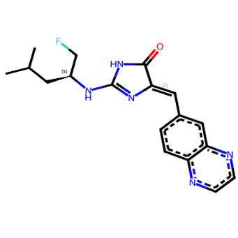 CC(C)C[C@@H](CF)NC1=N/C(=C\c2ccc3nccnc3c2)C(=O)N1